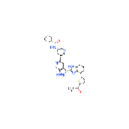 CC(=O)c1ccc(-c2cccc3[nH]c(-c4n[nH]c5cnc(-c6cncc(NC(=O)C7CCCC7)c6)cc45)nc23)s1